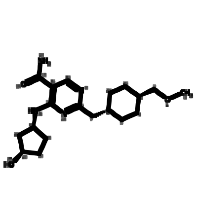 COC[C@H]1CC[C@H](Cc2ncc(C(N)=O)c(N[C@H]3CC[C@@H](O)C3)n2)CC1